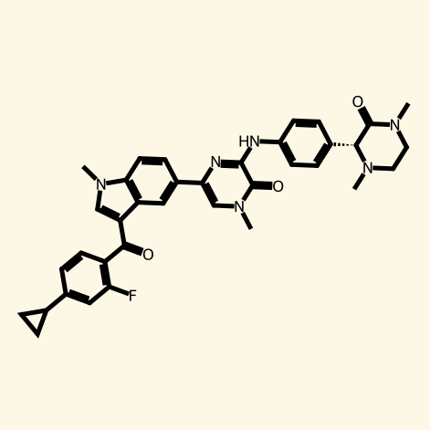 CN1CCN(C)[C@H](c2ccc(Nc3nc(-c4ccc5c(c4)c(C(=O)c4ccc(C6CC6)cc4F)cn5C)cn(C)c3=O)cc2)C1=O